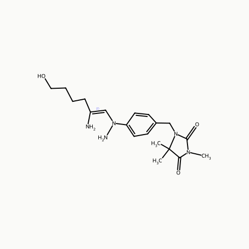 CN1C(=O)N(Cc2ccc(N(N)/C=C(\N)CCCCO)cc2)C(C)(C)C1=O